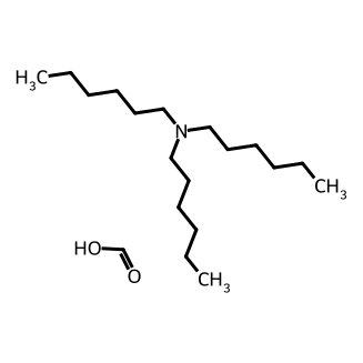 CCCCCCN(CCCCCC)CCCCCC.O=CO